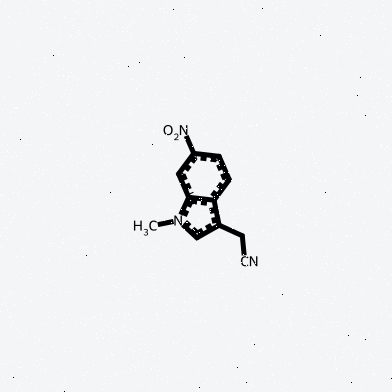 Cn1cc(CC#N)c2ccc([N+](=O)[O-])cc21